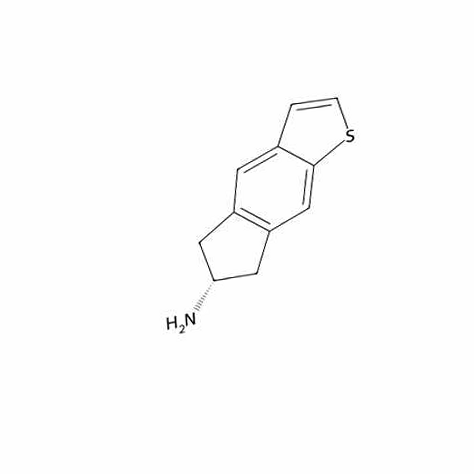 N[C@@H]1Cc2cc3ccsc3cc2C1